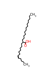 CCCC/C=C\CCCCCCC(CCCCCCCCCCCCCC)C(=O)O